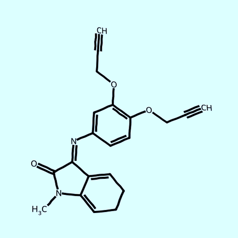 C#CCOc1ccc(/N=C2/C(=O)N(C)C3=CCCC=C32)cc1OCC#C